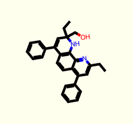 CCc1cc(-c2ccccc2)c2ccc3c(c2n1)NC(CC)(CO)C=C3c1ccccc1